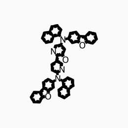 c1ccc2c(N(c3ccc4c(c3)oc3ccccc34)c3cnc4c(c3)oc3nc(N(c5ccc6c(c5)oc5ccccc56)c5cccc6ccccc56)ccc34)cccc2c1